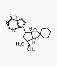 C=C[C@@]1(C)C[C@@H](n2ccc3c(C)ncnc32)[C@@H]2OC3(CCCCC3)O[C@@H]21